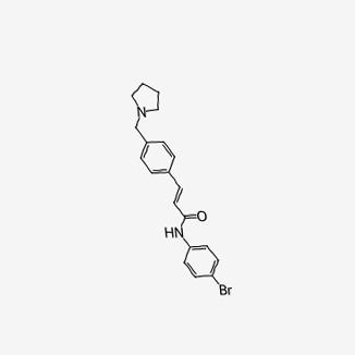 O=C(C=Cc1ccc(CN2CCCC2)cc1)Nc1ccc(Br)cc1